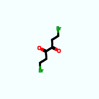 O=C(CCBr)C(=O)CCBr